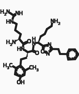 Cc1cc(O)cc(C)c1CC[C@H](NC(=O)[C@H](N)CCCNC(=N)N)C(=O)N[C@@H](CCCCN)c1nc(CCc2ccccc2)no1